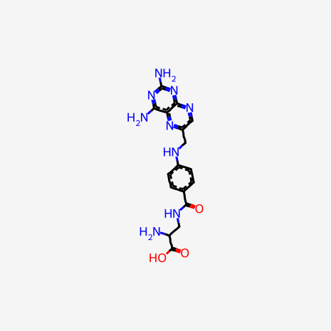 Nc1nc(N)c2nc(CNc3ccc(C(=O)NCC(N)C(=O)O)cc3)cnc2n1